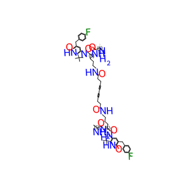 C[C@H](N)C(=O)N[C@@H](CCCCNC(=O)CCC#CC#CCCC(=O)NCCCC[C@H](NC(=O)[C@H](C)N)C(=O)N1CC(C)(C)c2[nH]c(=O)c(Cc3ccc(F)cc3)cc21)C(=O)N1CC(C)(C)c2[nH]c(=O)c(Cc3ccc(F)cc3)cc21